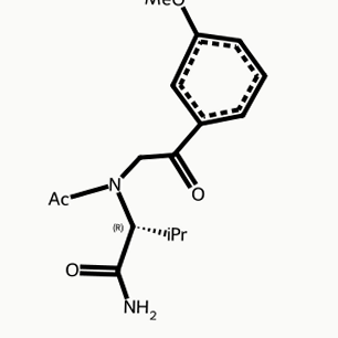 COc1cccc(C(=O)CN(C(C)=O)[C@@H](C(N)=O)C(C)C)c1